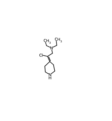 CCN(CC)CC(Cl)=C1CCNCC1